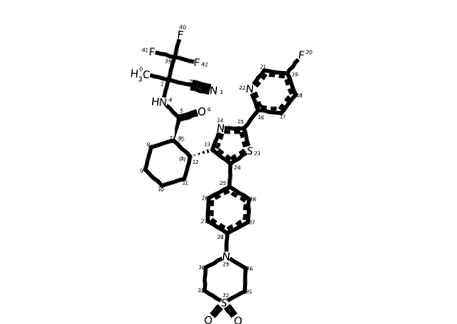 CC(C#N)(NC(=O)[C@@H]1CCCC[C@H]1c1nc(-c2ccc(F)cn2)sc1-c1ccc(N2CCS(=O)(=O)CC2)cc1)C(F)(F)F